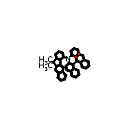 CC1(C)c2cc3ccccc3cc2-c2c(N(c3ccccc3)c3ccc4ccccc4c3-c3cccc4ccccc34)cccc21